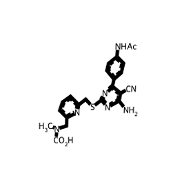 CC(=O)Nc1ccc(-c2nc(SCc3cccc(CN(C)C(=O)O)n3)nc(N)c2C#N)cc1